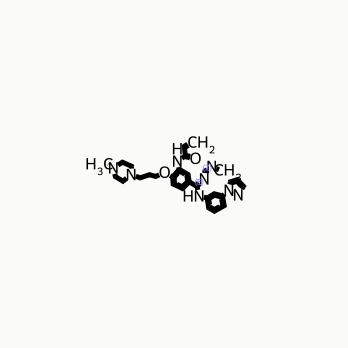 C=CC(=O)Nc1cc(/C(=N\C=N/C)Nc2cccc(-n3cccn3)c2)ccc1OCCCN1CCN(C)CC1